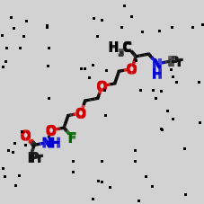 CC(C)NCC(C)OCCOCCOCC(F)ONC(=O)C(C)C